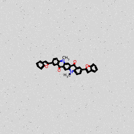 Cn1c2ccc(-c3cc4ccccc4o3)cc2c(=O)c2cc3c(cc21)c(=O)c1cc(-c2cc4ccccc4o2)ccc1n3C